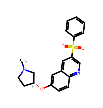 CN1CC[C@@H](Oc2ccc3ncc(S(=O)(=O)c4ccccc4)cc3c2)C1